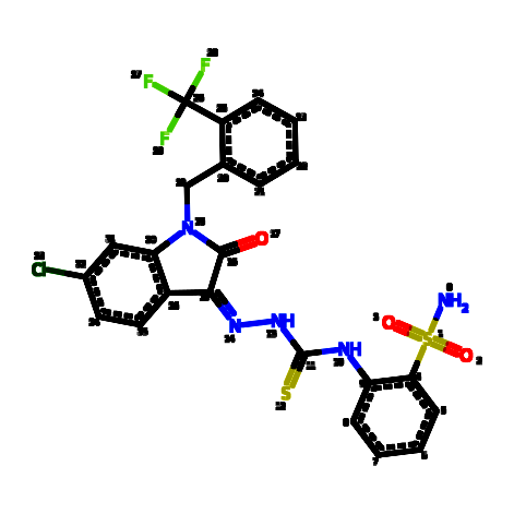 NS(=O)(=O)c1ccccc1NC(=S)NN=C1C(=O)N(Cc2ccccc2C(F)(F)F)c2cc(Cl)ccc21